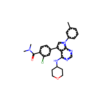 Cc1cccc(-n2cc(-c3ccc(C(=O)N(C)C)c(Cl)c3)c3c(NC4CCOCC4)ncnc32)c1